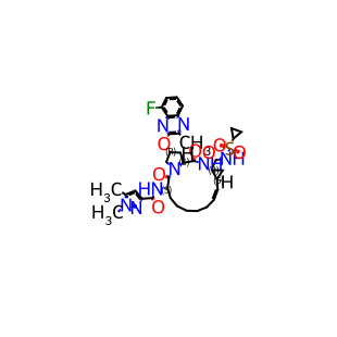 Cc1nc2cccc(F)c2nc1O[C@@H]1C[C@H]2C(=O)N[C@]3(C(=O)NS(=O)(=O)C4CC4)C[C@H]3C=CCCCCC[C@H](NC(=O)c3cc(C)n(C)n3)C(=O)N2C1